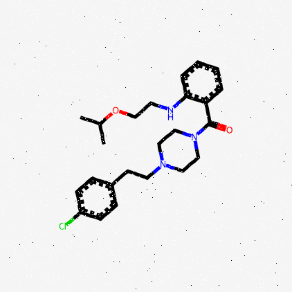 CC(C)OCCNc1ccccc1C(=O)N1CCN(CCc2ccc(Cl)cc2)CC1